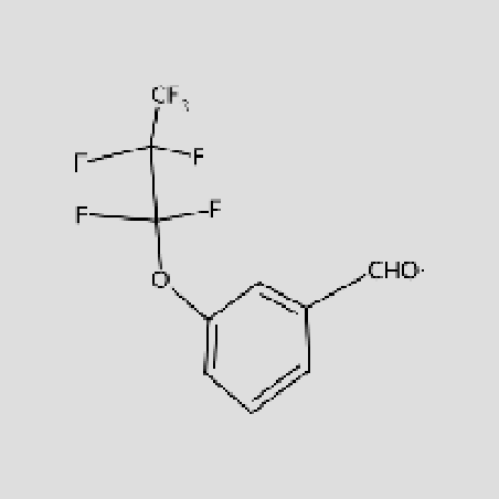 O=[C]c1cccc(OC(F)(F)C(F)(F)C(F)(F)F)c1